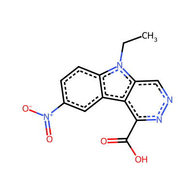 CCn1c2ccc([N+](=O)[O-])cc2c2c(C(=O)O)nncc21